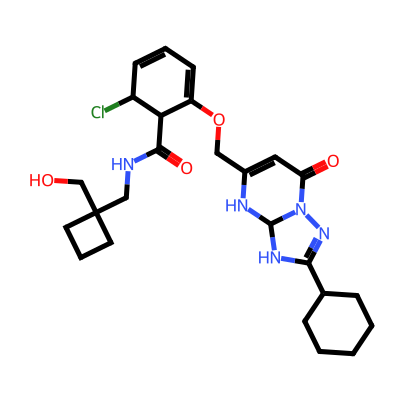 O=C(NCC1(CO)CCC1)C1C(OCC2=CC(=O)N3N=C(C4CCCCC4)NC3N2)=CC=CC1Cl